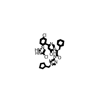 O=C(Nc1ncn(CC2CCCC2)n1)[C@H](Cc1ccccc1)n1cnc(-c2cc(Cl)ccc2N2C=C(Cl)NN2)cc1=O